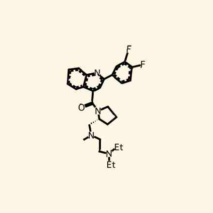 CCN(CC)CCN(C)C[C@H]1CCCN1C(=O)c1cc(-c2ccc(F)c(F)c2)nc2ccccc12